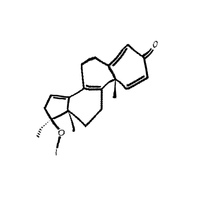 C[C@]12C=CC(=O)C=C1CCC1=C2CC[C@@]2(C)C1=CC[C@]2(C)OI